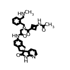 CNCc1ccccc1CN(CC(=O)Nc1ccc2c(c1)C[C@@]1(C2)C(=O)Nc2ncccc21)C(=O)C12CC(NC(C)=O)(C1)C2